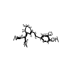 CC1(C)CC(/C=C/c2ccc(O)c(Cl)c2)=CC(=C(C#N)C#N)C1